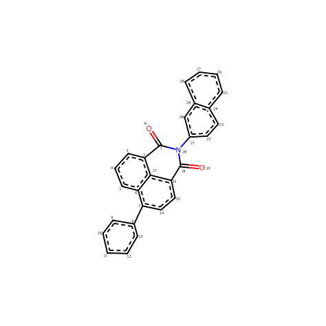 O=C1c2cccc3c(-c4ccccc4)ccc(c23)C(=O)N1c1ccc2ccccc2c1